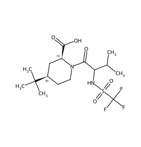 CC(C)C(NS(=O)(=O)C(F)(F)F)C(=O)N1CC[C@@H](C(C)(C)C)C[C@H]1C(=O)O